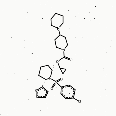 O=C(OC1([C@H]2CCC[C@@H](c3cccs3)N2S(=O)(=O)c2ccc(Cl)cc2)CC1)N1CCC(N2CCCCC2)CC1